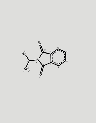 CC(=O)C(C)N1C(=O)c2ccccc2C1=O